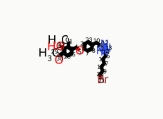 CCc1c(COc2ccc(Cc3nnn(CCCCCCBr)n3)cc2)ccc(C(C)=O)c1O